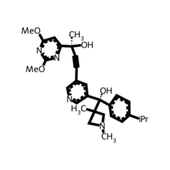 COc1cc([C@@](C)(O)C#Cc2cncc([C@@](O)(c3ccc(C(C)C)cc3)C3(C)CN(C)C3)c2)nc(OC)n1